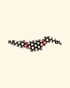 CCCCc1ccc(OC(=O)c2ccc3c4ccc(C(=O)Oc5ccc(CCCC)cc5)c5cccc(c6cccc2c63)c54)cc1